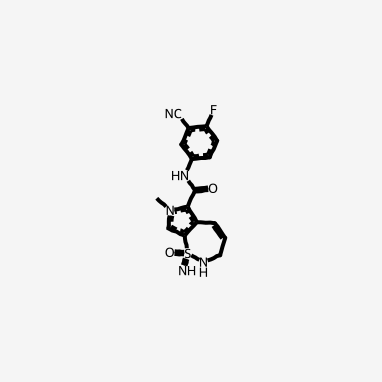 Cn1cc2c(c1C(=O)Nc1ccc(F)c(C#N)c1)C=CCNS2(=N)=O